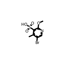 COc1ncc(Br)c(C)c1S(=O)(=O)O